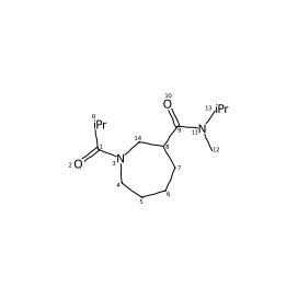 CC(C)C(=O)N1CCCCC(C(=O)N(C)C(C)C)C1